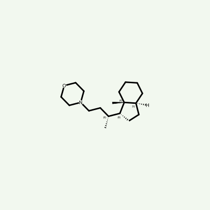 C[C@H](CCN1CCOCC1)[C@H]1CC[C@@H]2CCCC[C@]21C